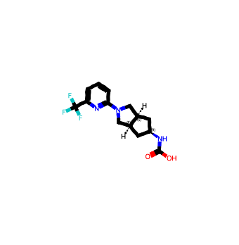 O=C(O)N[C@@H]1C[C@@H]2CN(c3cccc(C(F)(F)F)n3)C[C@@H]2C1